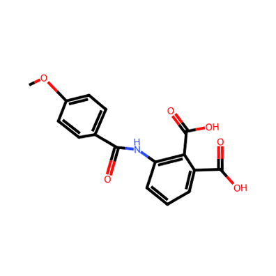 COc1ccc(C(=O)Nc2cccc(C(=O)O)c2C(=O)O)cc1